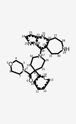 O=C(N1CCOCC1)C1(c2ccccc2)CCN(c2c3c(nc4ccnn24)CCNCC3)CC1